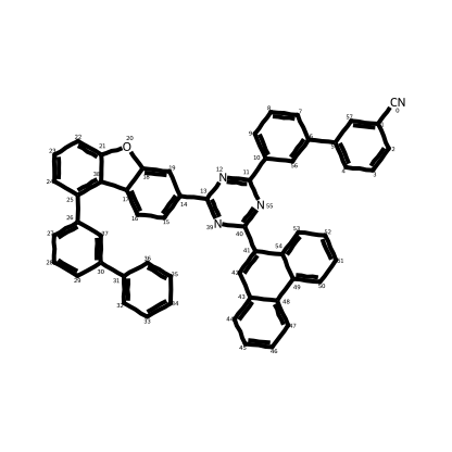 N#Cc1cccc(-c2cccc(-c3nc(-c4ccc5c(c4)oc4cccc(-c6cccc(-c7ccccc7)c6)c45)nc(-c4cc5ccccc5c5ccccc45)n3)c2)c1